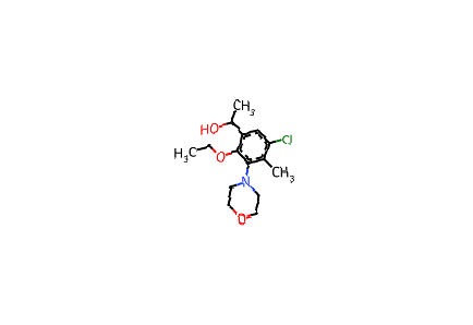 CCOc1c(C(C)O)cc(Cl)c(C)c1N1CCOCC1